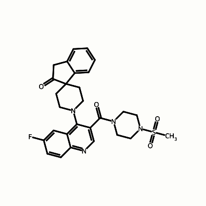 CS(=O)(=O)N1CCN(C(=O)c2cnc3ccc(F)cc3c2N2CCC3(CC2)C(=O)Cc2ccccc23)CC1